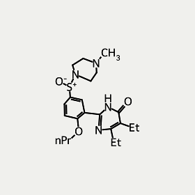 CCCOc1ccc([S+]([O-])N2CCN(C)CC2)cc1-c1nc(CC)c(CC)c(=O)[nH]1